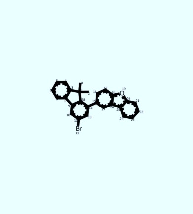 CC1(C)c2ccccc2-c2cc(Br)cc(-c3ccc4oc5ccccc5c4c3)c21